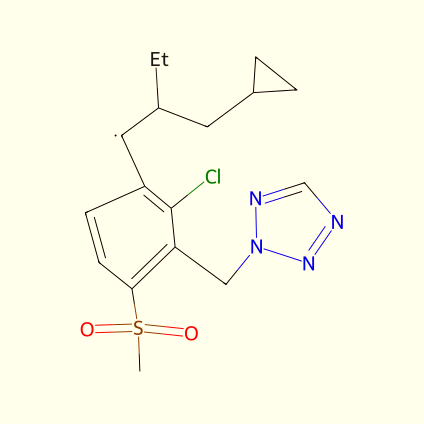 CCC([CH]c1ccc(S(C)(=O)=O)c(Cn2ncnn2)c1Cl)CC1CC1